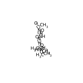 Cc1cc(-n2ccc(NC(=O)N3CCN(C(=O)CC(C)(C)NC(=O)OC(C)(C)C)CC3)nc2=O)ccc1C=O